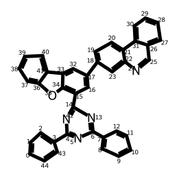 c1ccc(-c2nc(-c3ccccc3)nc(-c3cc(-c4ccc5c(c4)ncc4ccccc45)cc4c3oc3ccccc34)n2)cc1